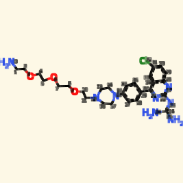 NCCOCCOCCOCCN1CCN(c2ccc(-c3nc(N=C(N)N)nc4ccc(Cl)cc34)cc2)CC1